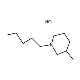 CCCCCN1CCCC(C)C1.Cl